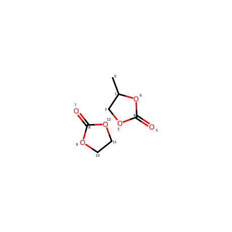 CC1COC(=O)O1.O=C1OCCO1